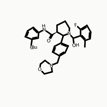 Cc1cccc(F)c1C(O)N1CCC[C@H](C(=O)Nc2cccc(C(C)(C)C)c2)C1c1ccc(CN2CCOCC2)cc1